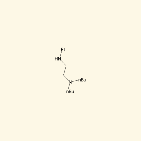 CCCCN(CCCC)CCNCC